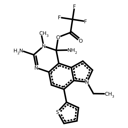 CCn1ccc2c3c(cc(-c4cccs4)c21)N=C(N)N(C)C3(N)OC(=O)C(F)(F)F